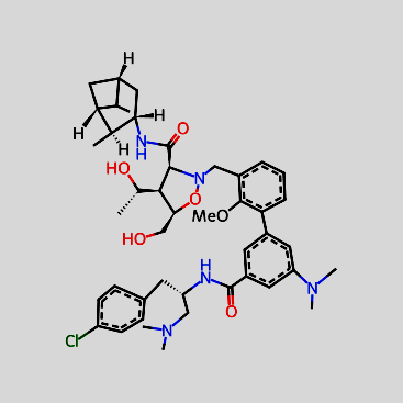 COc1c(CN2O[C@@H](CO)[C@@H]([C@H](C)O)[C@H]2C(=O)N[C@H]2C[C@H]3C[C@H](C3C)[C@@H]2C)cccc1-c1cc(C(=O)N[C@@H](Cc2ccc(Cl)cc2)CN(C)C)cc(N(C)C)c1